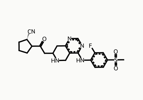 CS(=O)(=O)c1ccc(Nc2ncnc3c2CNC(CC(=O)C2CCC[C@@H]2C#N)C3)c(F)c1